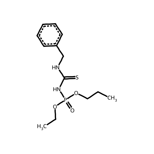 CCCOP(=O)(NC(=S)NCc1ccccc1)OCC